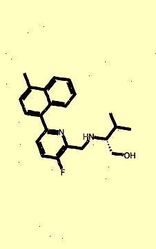 Cc1ccc(-c2ccc(F)c(CN[C@@H](CO)C(C)C)n2)c2ccccc12